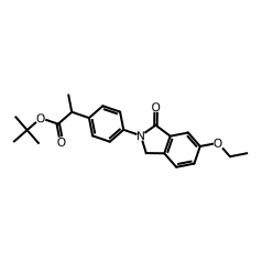 CCOc1ccc2c(c1)C(=O)N(c1ccc(C(C)C(=O)OC(C)(C)C)cc1)C2